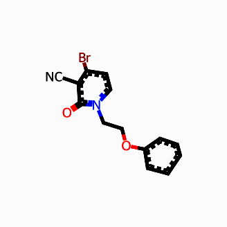 N#Cc1c(Br)ccn(CCOc2ccccc2)c1=O